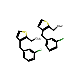 COCc1sccc1Cc1cccc(Cl)c1.COCc1sccc1Cc1cccc(Cl)c1